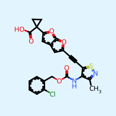 Cc1nsc(C#Cc2cc3cc(C4(C(=O)O)CC4)oc3o2)c1NC(=O)OCc1ccccc1Cl